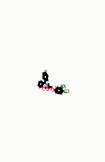 O=C1OC(COc2ccc(Cl)c(Cl)c2)CN1C(c1ccccc1)c1ccccc1